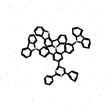 c1ccc(-c2cc(-c3cc(-c4ccc(-n5c6ccccc6c6ccccc65)cc4)c(-n4c5ccccc5c5c6sc7ccccc7c6ccc54)c(-c4ccc(-n5c6ccccc6c6ccccc65)cc4)c3)nc(-c3ccccc3)n2)cc1